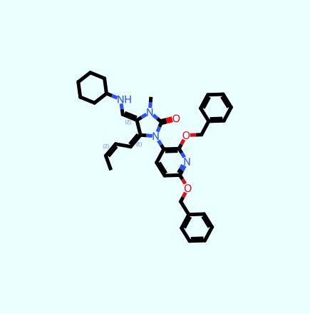 C\C=C/C=c1\c(=C\NC2CCCCC2)n(C)c(=O)n1-c1ccc(OCc2ccccc2)nc1OCc1ccccc1